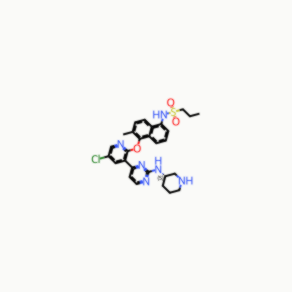 CCCS(=O)(=O)Nc1cccc2c(Oc3ncc(Cl)cc3-c3ccnc(N[C@H]4CCCNC4)n3)c(C)ccc12